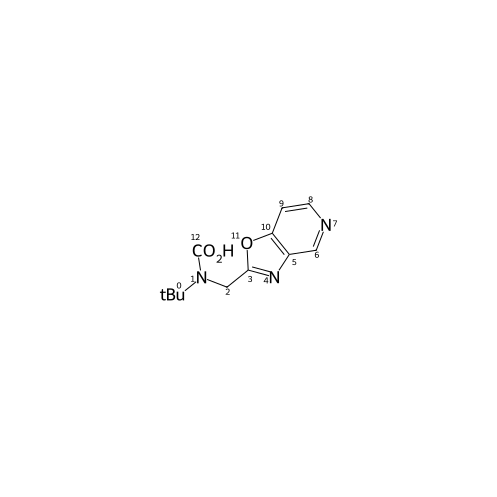 CC(C)(C)N(Cc1nc2cnccc2o1)C(=O)O